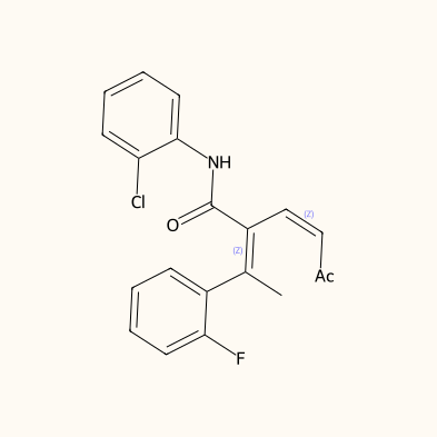 CC(=O)/C=C\C(C(=O)Nc1ccccc1Cl)=C(/C)c1ccccc1F